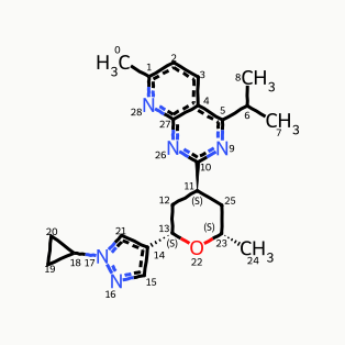 Cc1ccc2c(C(C)C)nc([C@@H]3C[C@@H](c4cnn(C5CC5)c4)O[C@@H](C)C3)nc2n1